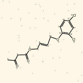 CC(=O)CC(=O)OC/C=C/COc1ccc(Cl)cc1Cl